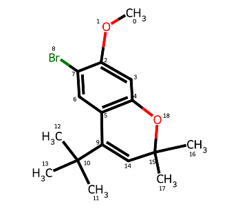 COc1cc2c(cc1Br)C(C(C)(C)C)=CC(C)(C)O2